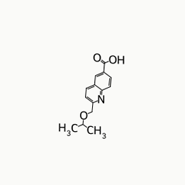 CC(C)OCc1ccc2cc(C(=O)O)ccc2n1